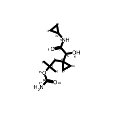 CC(C)(CC1(C(O)C(=O)NC2CC2)CC1)OC(N)=O